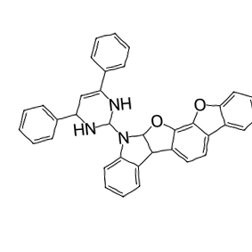 C1=C(c2ccccc2)NC(N2c3ccccc3C3c4ccc5c(oc6ccccc65)c4OC32)NC1c1ccccc1